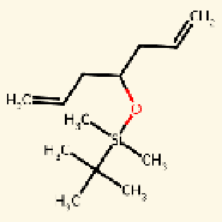 C=CCC(CC=C)O[Si](C)(C)C(C)(C)C